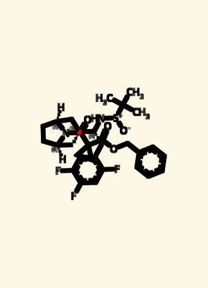 CC(C)(C)[S+]([O-])N[C@H](Cc1cc(F)c(F)cc1F)[C@@H]1C[C@H]2CC[C@@H](C1)N2C(=O)C1(C(=O)OCc2ccccc2)CC1